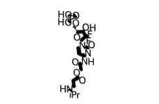 CC(C)NCCC(=O)OCC(=O)Nc1ccn([C@@H]2O[C@H](COP(=O)(O)O)[C@@H](O)C2(F)F)c(=O)n1